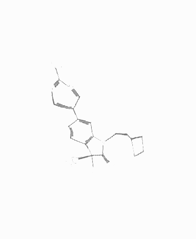 Cc1ncc(-c2ccc3c(c2)N(CC2CCC2)C(=O)C3(C)C)cn1